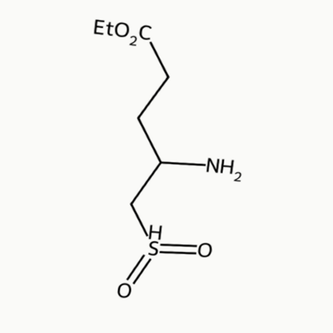 CCOC(=O)CCC(N)C[SH](=O)=O